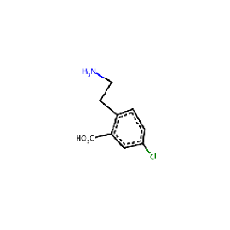 NCCc1ccc(Cl)cc1C(=O)O